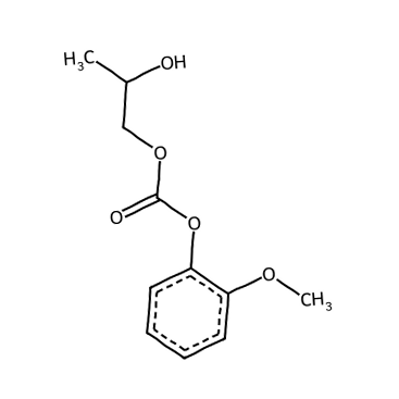 COc1ccccc1OC(=O)OCC(C)O